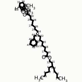 CCCCCC(CCCCC)CCOC(=O)CCCCCCCN(CCCCCCCC(=O)O[C@@H]1C[C@@H]2CC[C@@]1(C)C2(C)C)Cc1ccccc1